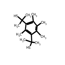 Cc1c(C)c(C(C)(C)S)c(C)c(C(C)(C)S)c1C